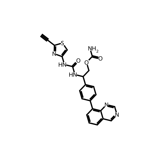 C#Cc1nc(NC(=O)NC(COC(N)=O)c2ccc(-c3cccc4cncnc34)cc2)cs1